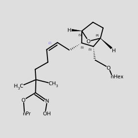 CCCCCCOC[C@@H]1[C@H](C/C=C\CCC(C)(C)C(=NO)OCCC)[C@@H]2CC[C@H]1O2